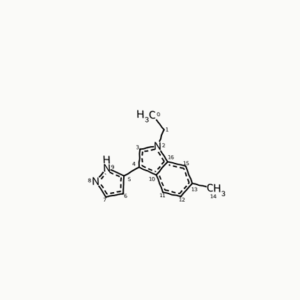 CCn1cc(-c2ccn[nH]2)c2ccc(C)cc21